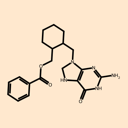 Nc1nc2c(c(=O)[nH]1)NCN2CC1CCCCC1COC(=O)c1ccccc1